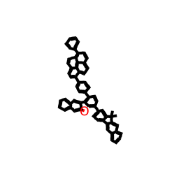 CC1(C)c2cc(-c3ccc(-c4ccc(-c5ccc6ccc7c(-c8ccccc8)ccc8ccc5c6c87)cc4)c4c3oc3cc5ccccc5cc34)ccc2-c2cc3ccccc3cc21